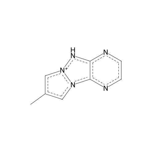 Cc1cn2c3nccnc3[nH][n+]2c1